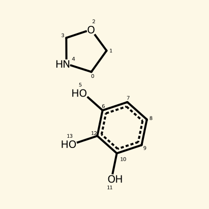 C1COCN1.Oc1cccc(O)c1O